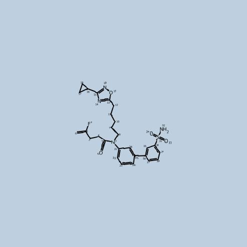 C=C(F)CCC(=O)N(CCCCCc1nc(C2CC2)no1)c1cccc(-c2cccc(S(N)(=O)=O)c2)c1